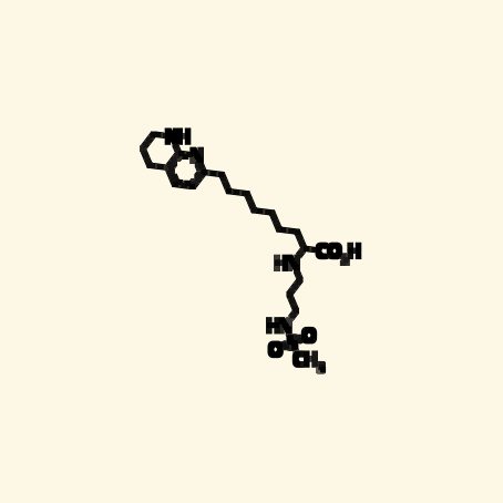 CS(=O)(=O)NCCCNC(CCCCCCCc1ccc2c(n1)NCCC2)C(=O)O